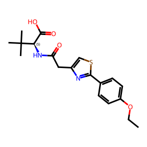 CCOc1ccc(-c2nc(CC(=O)N[C@H](C(=O)O)C(C)(C)C)cs2)cc1